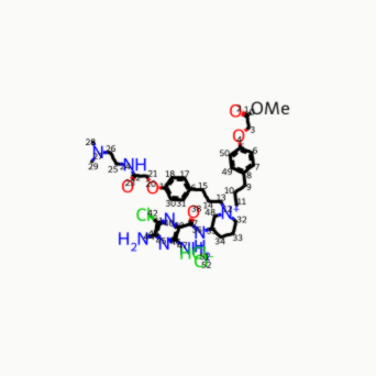 COC(=O)COc1ccc(CCC[N+]2(CCCc3ccc(OCC(=O)NCCN(C)C)cc3)CCCC(NC(=O)c3nc(Cl)c(N)nc3N)C2)cc1.Cl.[Cl-]